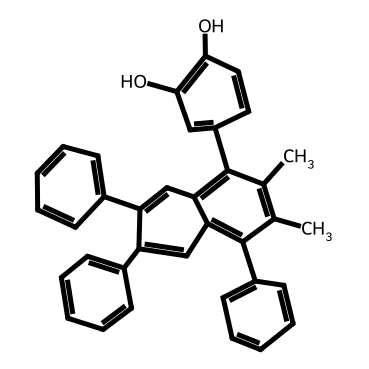 Cc1c(C)c(-c2ccc(O)c(O)c2)c2cc(-c3ccccc3)c(-c3ccccc3)cc2c1-c1ccccc1